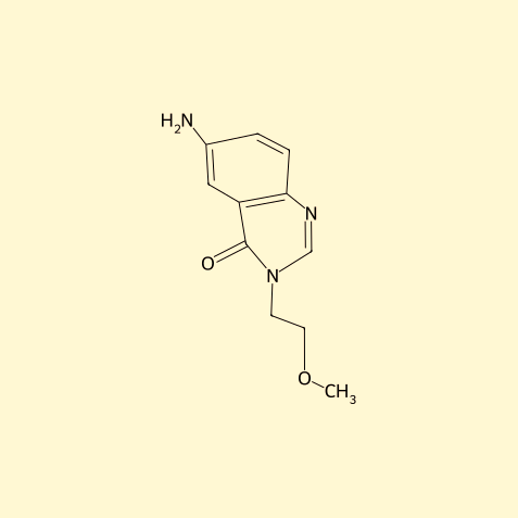 COCCn1cnc2ccc(N)cc2c1=O